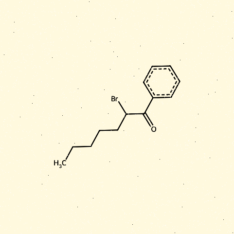 CCCCCC(Br)C(=O)c1ccccc1